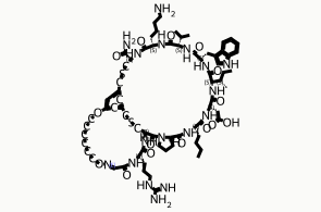 CCCC[C@@H]1NC(=O)[C@@H]2CCCN2C(=O)[C@@H]2CSCc3cc(cc(c3)OCCCCCCO/N=C/C(=O)N[C@@H](CCCNC(=N)N)C(=O)N2)CSC[C@@H](C(N)=O)NC(=O)[C@H](CCCCN)NC(=O)[C@H](C(C)C)NC(=O)[C@H](Cc2c[nH]c3ccccc23)NC(=O)[C@H]([C@@H](C)CC)NC(=O)[C@H](CC(=O)O)NC1=O